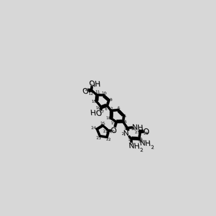 Nc1nc(-c2ccc(-c3ccc(C(=O)O)cc3O)cc2OC2CCCC2)[nH]c(=O)c1N